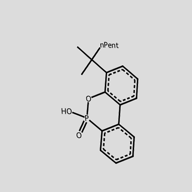 CCCCCC(C)(C)c1cccc2c1OP(=O)(O)c1ccccc1-2